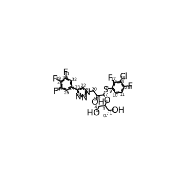 C[C@@H](O)C(CO)OC(Sc1ccc(F)c(Cl)c1F)[C@@H](O)Cn1cc(-c2cc(F)c(F)c(F)c2)nn1